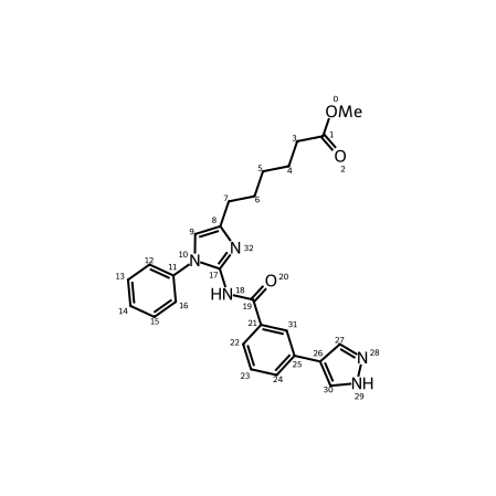 COC(=O)CCCCCc1cn(-c2ccccc2)c(NC(=O)c2cccc(-c3cn[nH]c3)c2)n1